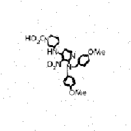 COc1ccc(CN(Cc2ccc(OC)cc2)c2nccc(NC3CCCN(C(=O)O)C3)c2[N+](=O)[O-])cc1